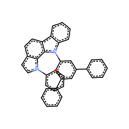 c1ccc(-c2cc(-c3ccccc3)cc(-n3c4ccccc4c4ccc5ccn(-c6ccccc6)c5c43)c2)cc1